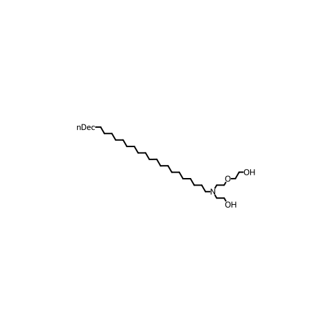 CCCCCCCCCCCCCCCCCCCCCCCCCCCCCCN(CCO)CCOCCO